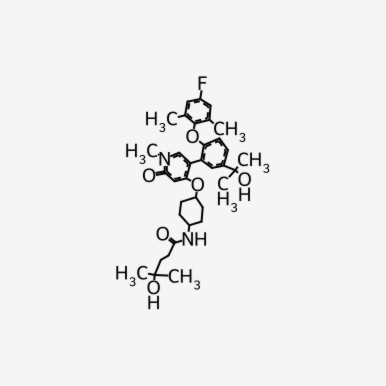 Cc1cc(F)cc(C)c1Oc1ccc(C(C)(C)O)cc1-c1cn(C)c(=O)cc1OC1CCC(NC(=O)CCC(C)(C)O)CC1